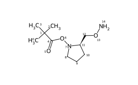 CC(C)(C)C(=O)ON1CCC[C@@H]1CON